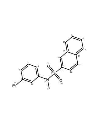 CC(C)c1cccc(N(C)S(=O)(=O)c2ccc3ccccc3c2)c1